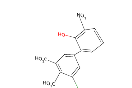 O=C(O)c1cc(-c2cccc([N+](=O)[O-])c2O)cc(Cl)c1C(=O)O